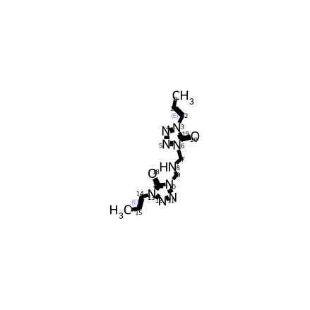 C/C=C/n1nnn(CNCn2nnn(/C=C/C)c2=O)c1=O